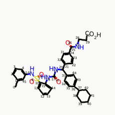 Cc1cccc(NS(=O)(=O)c2ccccc2NC(=O)NC(c2ccc(C(=O)NCCC(=O)O)cc2)c2ccc(C3CCCCC3)cc2)c1